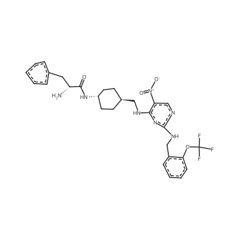 N[C@H](Cc1ccccc1)C(=O)N[C@H]1CC[C@H](CNc2nc(NCc3ccccc3OC(F)(F)F)ncc2[N+](=O)[O-])CC1